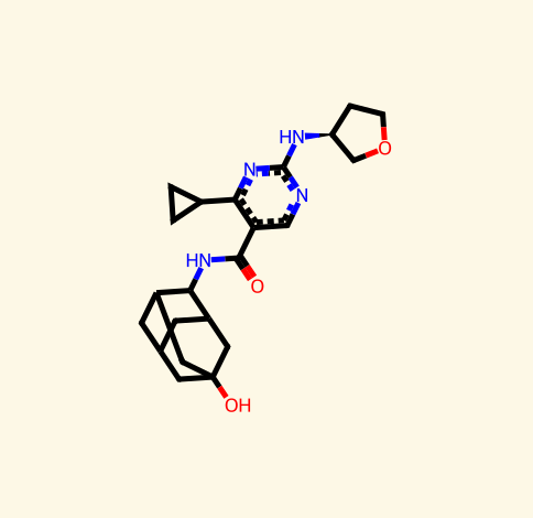 O=C(NC1C2CC3CC1CC(O)(C3)C2)c1cnc(N[C@H]2CCOC2)nc1C1CC1